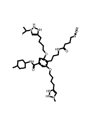 CC1CCC(NC(=O)c2cc(OCCCCC3=CN(C)NN3)c(CCCNC(=O)CCCN=[N+]=[N-])c(OCCCCC3=CN(C(C)I)NN3)c2)CC1